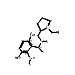 CCN1CCCC1CN(C)C(C)c1c(O)ccc(Br)c1OC